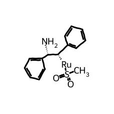 C[S](=O)(=O)[Ru][C@@H](c1ccccc1)[C@@H](N)c1ccccc1